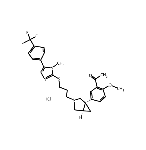 COc1ccc([C@]23C[C@H]2CN(CCCSc2nnc(-c4ccc(C(F)(F)F)cc4)n2C)C3)cc1C(C)=O.Cl